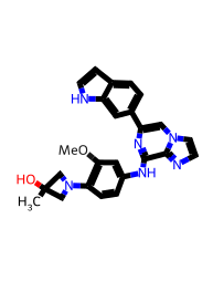 COc1cc(Nc2nc(-c3ccc4cc[nH]c4c3)cn3ccnc23)ccc1N1CC(C)(O)C1